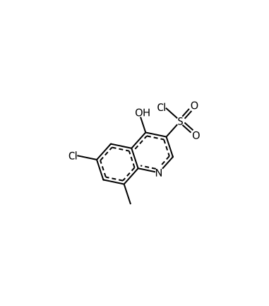 Cc1cc(Cl)cc2c(O)c(S(=O)(=O)Cl)cnc12